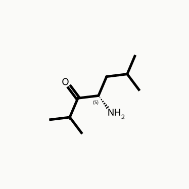 C[C](C)C(=O)[C@@H](N)CC(C)C